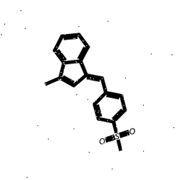 CC1=CC(=Cc2ccc(S(C)(=O)=O)cc2)c2ccccc21